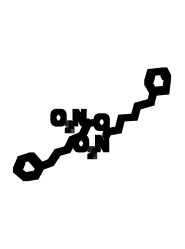 O=[N+]([O-])C(CCCCCc1ccccc1)OC(CCCCCc1ccccc1)[N+](=O)[O-]